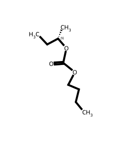 CCCCOC(=O)O[C@@H](C)CC